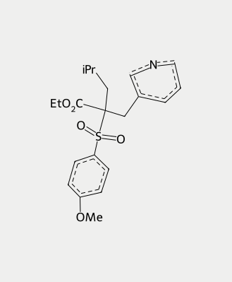 CCOC(=O)C(Cc1cccnc1)(CC(C)C)S(=O)(=O)c1ccc(OC)cc1